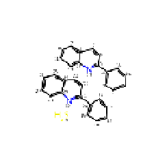 S.c1ccc(-c2ccc3ccccc3n2)cc1.c1ccc(-c2ccc3ccccc3n2)cc1